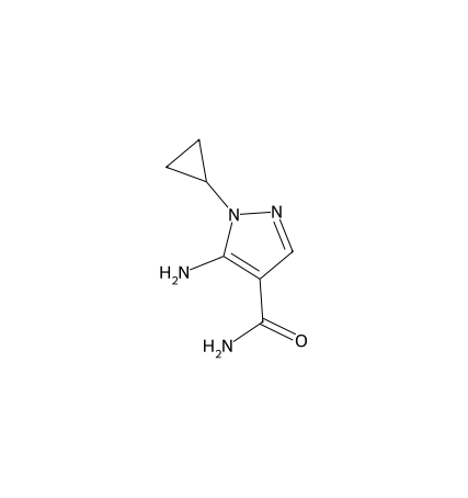 NC(=O)c1cnn(C2CC2)c1N